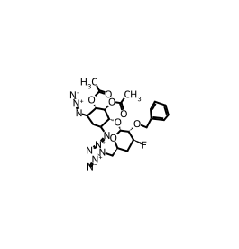 CC(=O)O[C@H]1[C@H](O[C@H]2O[C@H](CN=[N+]=[N-])C[C@H](F)[C@H]2OCc2ccccc2)C(N=[N+]=[N-])CC(N=[N+]=[N-])[C@@H]1OC(C)=O